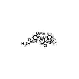 C=CC(=O)Nc1ccc(OC)c(Nc2ncc(Cl)c(Oc3ccccc3S(=O)(=O)C(C)C)n2)c1